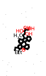 CC/C=C\c1ccc2c(oc3cccc(-c4c5ccccc5c(/C(C)=C(O)/C(O)=C(/O)CO)c5ccccc45)c32)c1CC